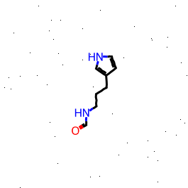 O=CNCCCc1cc[nH]c1